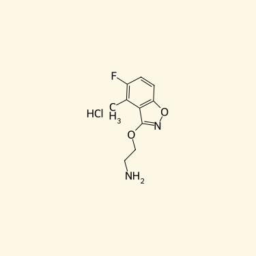 Cc1c(F)ccc2onc(OCCN)c12.Cl